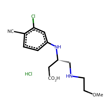 COCCNC[C@H](CC(=O)O)Nc1ccc(C#N)c(Cl)c1.Cl